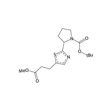 COC(=O)CCc1cnc(C2CCCN2C(=O)OC(C)(C)C)s1